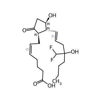 CCCCC(O)(C/C=C/[C@H]1[C@H](O)CC(=O)[C@@H]1C/C=C\CCCC(=O)O)C(F)F